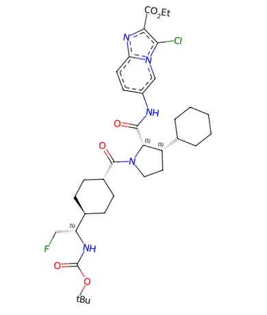 CCOC(=O)c1nc2ccc(NC(=O)[C@@H]3[C@H](C4CCCCC4)CCN3C(=O)[C@H]3CC[C@H]([C@@H](CF)NC(=O)OC(C)(C)C)CC3)cn2c1Cl